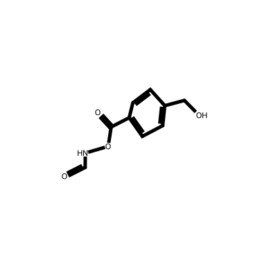 O=CNOC(=O)c1ccc(CO)cc1